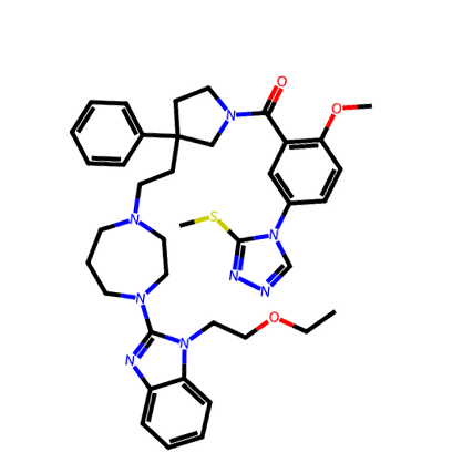 CCOCCn1c(N2CCCN(CCC3(c4ccccc4)CCN(C(=O)c4cc(-n5cnnc5SC)ccc4OC)C3)CC2)nc2ccccc21